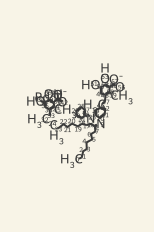 CCCCCCCCC(=Nc1ccccc1)C(CCCCCCCC)=Nc1ccccc1.CCc1cc(O)c(O)c(C(=O)[O-])c1C.CCc1cc(O)c(O)c(C(=O)[O-])c1C.[Pd+2]